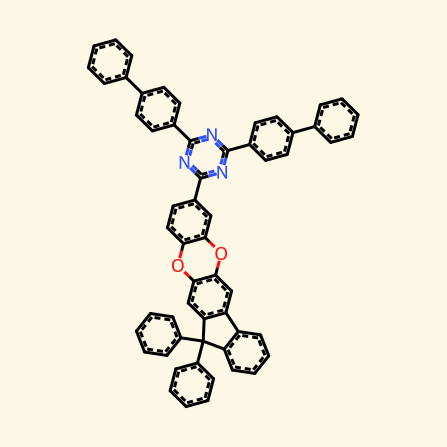 c1ccc(-c2ccc(-c3nc(-c4ccc(-c5ccccc5)cc4)nc(-c4ccc5c(c4)Oc4cc6c(cc4O5)C(c4ccccc4)(c4ccccc4)c4ccccc4-6)n3)cc2)cc1